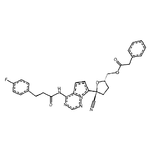 N#C[C@]1(c2ccc3c(NC(=O)CCc4ccc(F)cc4)ncnn23)CC[C@@H](COC(=O)Cc2ccccc2)O1